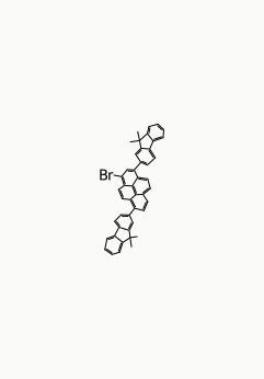 CC1(C)c2ccccc2-c2ccc(-c3ccc4ccc5c(-c6ccc7c(c6)C(C)(C)c6ccccc6-7)cc(Br)c6ccc3c4c65)cc21